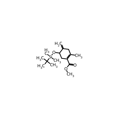 C=C1CC(C)=C(C(=O)OC)CC1O[Si](C)(C)C(C)(C)C